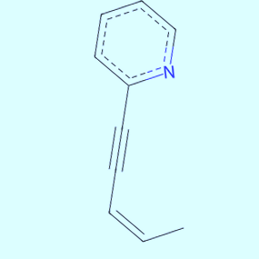 C/C=C\C#Cc1ccccn1